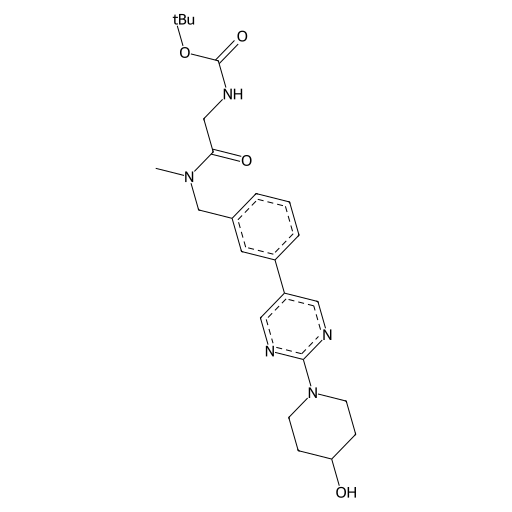 CN(Cc1cccc(-c2cnc(N3CCC(O)CC3)nc2)c1)C(=O)CNC(=O)OC(C)(C)C